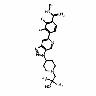 C=C(NCC)c1ccc(-c2cc3nnn(C4CCN(CC(C)(C)O)CC4)c3cn2)c(F)c1F